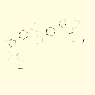 COC(=O)N[C@H](C(=O)N1CCC[C@H]1c1nc(-c2ccc(C3CCCC3C3CCCC3c3ccc(-c4c[nH]c([C@@H]5CCCN5C(=O)[C@@H](NC(=O)OC)C(C)C)n4)cc3)cc2)c[nH]1)C(C)C